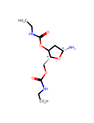 N[C@H]1CC(OC(=O)NCC(=O)O)[C@@H](COC(=O)NCC(=O)O)O1